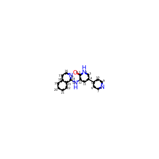 O=c1[nH]cc(-c2ccncc2)cc1Nc1nccc2ccccc12